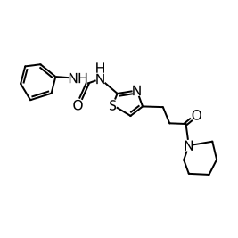 O=C(Nc1ccccc1)Nc1nc(CCC(=O)N2CCCCC2)cs1